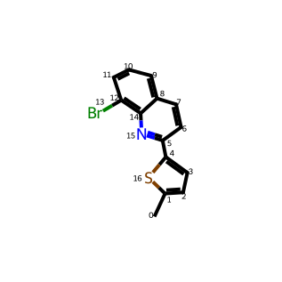 Cc1ccc(-c2ccc3cccc(Br)c3n2)s1